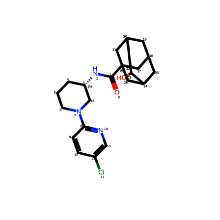 O=C(N[C@H]1CCCN(c2ccc(Cl)cn2)C1)C12CC3CC(C1)C(O)C(C3)C2